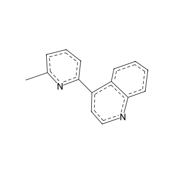 Cc1cccc(-c2ccnc3ccccc23)n1